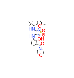 Cc1ccc([C@H](NC2=NS(=O)(=O)N=C2Nc2cccc(C(=O)N3CCOCC3)c2O)C(C)(C)C)o1